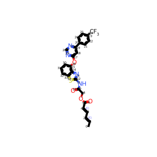 C/C=C/C=C/C(=O)OCC(=O)Nc1nc2c(Oc3cc(-c4ccc(C(F)(F)F)cc4)ncn3)cccc2s1